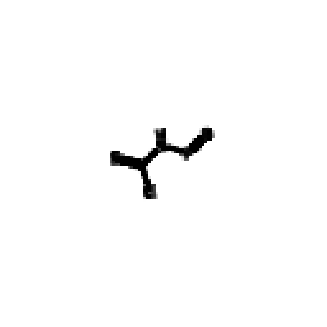 O=PNC(=S)Cl